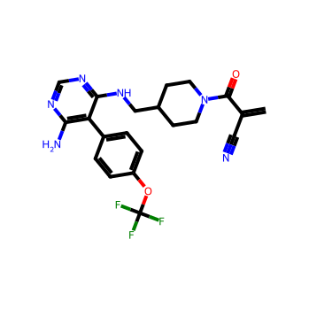 C=C(C#N)C(=O)N1CCC(CNc2ncnc(N)c2-c2ccc(OC(F)(F)F)cc2)CC1